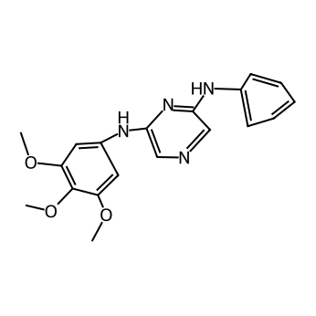 COc1cc(Nc2cncc(Nc3ccccc3)n2)cc(OC)c1OC